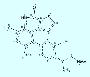 CNCC(C)c1ccc(-c2c(OC)cc(C)c3[nH]c(=O)c4sccc4c23)cc1F